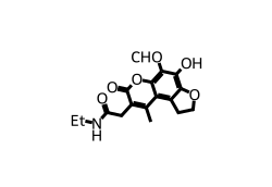 CCNC(=O)Cc1c(C)c2c3c(c(O)c(C=O)c2oc1=O)OCC3